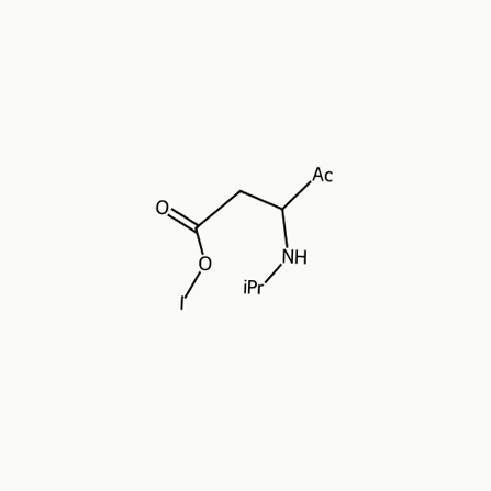 CC(=O)C(CC(=O)OI)NC(C)C